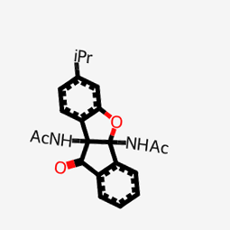 CC(=O)NC12Oc3cc(C(C)C)ccc3C1(NC(C)=O)C(=O)c1ccccc12